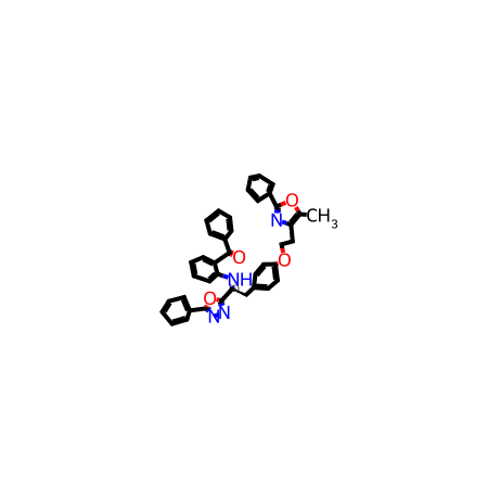 Cc1oc(-c2ccccc2)nc1CCOc1ccc(C[C@H](Nc2ccccc2C(=O)c2ccccc2)c2nnc(-c3ccccc3)o2)cc1